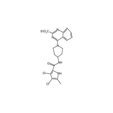 CCOC(=O)c1nc(N2CCC(NC(=O)c3[nH]c(C)c(Cl)c3Cl)CC2)c2ccccc2n1